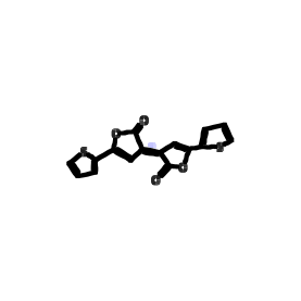 O=C1OC(c2cccs2)=C/C1=C1/C=C(c2cccs2)OC1=O